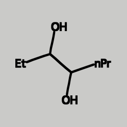 CCCC(O)C(O)CC